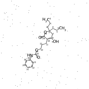 CCCC1(CCC)CC(O)=C(CCCOC(=O)Nc2ccccc2)C(=O)O1